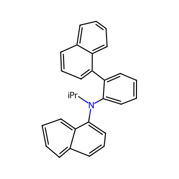 CC(C)N(c1ccccc1-c1cccc2ccccc12)c1cccc2ccccc12